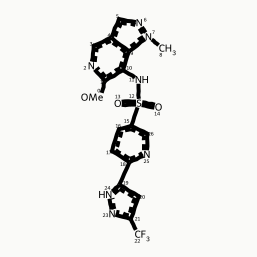 COc1ncc2cnn(C)c2c1NS(=O)(=O)c1ccc(-c2cc(C(F)(F)F)n[nH]2)nc1